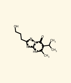 Cc1[nH]c2nc(CCCO)nn2c(=O)c1C(C)C